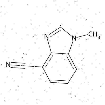 Cn1[c]nc2c(C#N)cccc21